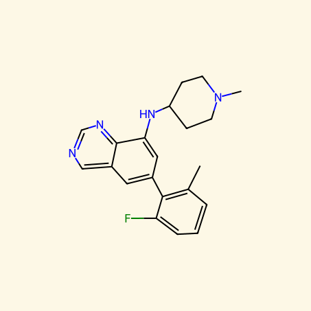 Cc1cccc(F)c1-c1cc(NC2CCN(C)CC2)c2ncncc2c1